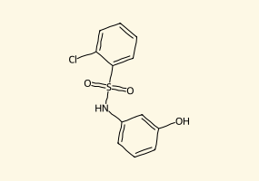 O=S(=O)(Nc1cccc(O)c1)c1ccccc1Cl